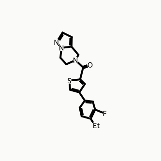 CCc1ccc(-c2csc(C(=O)N3CCn4nccc4C3)c2)cc1F